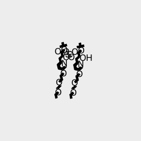 CCOCCOCCOc1ccc(CC(O)C(=O)OC(C)(C)C)nc1.CCOCCOCCOc1ccc(CC(OS(C)(=O)=O)C(=O)OC(C)(C)C)nc1